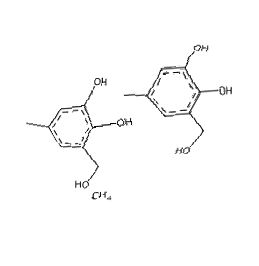 C.Cc1cc(O)c(O)c(CO)c1.Cc1cc(O)c(O)c(CO)c1